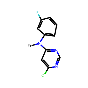 CCN(c1cccc(F)c1)c1cc(Cl)ncn1